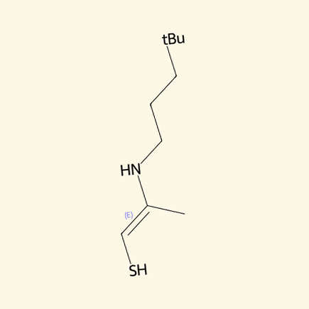 C/C(=C\S)NCCCC(C)(C)C